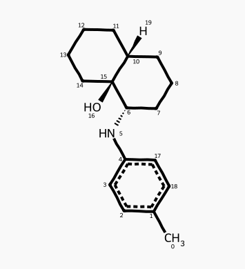 Cc1ccc(N[C@H]2CCC[C@H]3CCCC[C@]32O)cc1